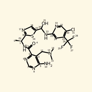 C[C@H](NC(=O)c1ncnc(N)c1CN(C)C)c1ncc(C(O)Nc2cc(C(F)(F)F)c(Cl)cn2)s1